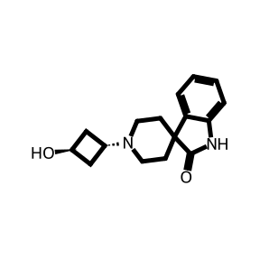 O=C1Nc2ccccc2C12CCN([C@H]1C[C@H](O)C1)CC2